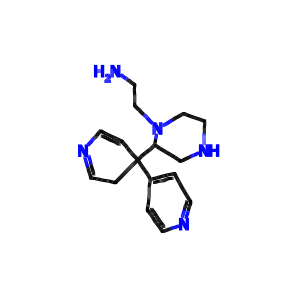 NCCN1CCNCC1C1(c2ccncc2)C=CN=CC1